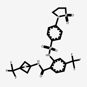 O=C(NC12CC(C(F)(F)F)(C1)C2)c1ccc(C(F)(F)F)cc1NS(=O)(=O)c1ccc(N2CCCS2(=O)=O)cc1